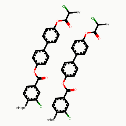 CCCCCCCc1ccc(C(=O)Oc2ccc(-c3ccc(OC(=O)C(Cl)C(C)C)cc3)cc2)cc1Cl.CCCCCCc1ccc(C(=O)Oc2ccc(-c3ccc(OC(=O)C(Cl)C(C)C)cc3)cc2)cc1Cl